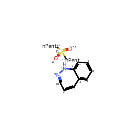 C1=Cc2ccccc2NN=C1.CCCCCS(=O)(=O)CCCCC